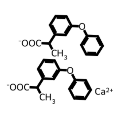 CC(C(=O)[O-])c1cccc(Oc2ccccc2)c1.CC(C(=O)[O-])c1cccc(Oc2ccccc2)c1.[Ca+2]